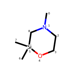 CN1CCO[Si](C)(C)C1